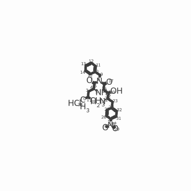 CC(C)C[C@H](N)C(=O)N(Cc1ccccc1)C(=O)CC(O)[C@@H](N)Cc1ccc([N+](=O)[O-])cc1.Cl